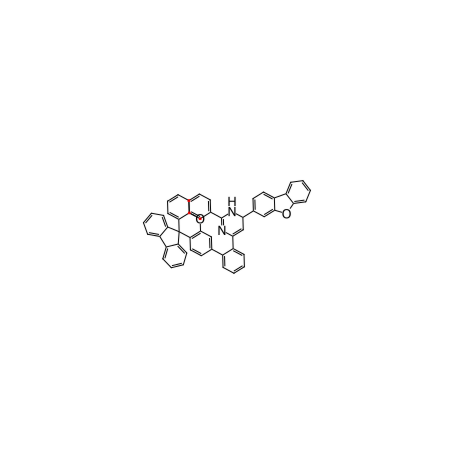 C1=CCC2Oc3cc(-c4ccccc4C4=CC(c5ccc6c(c5)oc5ccccc56)NC(c5ccccc5)=N4)ccc3C3(C2=C1)c1ccccc1-c1ccccc13